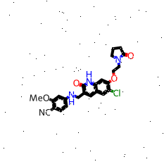 COc1cc(NCc2cc3cc(Cl)c(OCCN4CCCC4=O)cc3[nH]c2=O)ccc1C#N